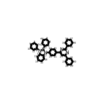 c1ccc(B2N(c3ccccc3)c3ccccc3N2c2ccc(-c3cc(-c4ccccc4)nc(-c4ccccc4)n3)cc2)cc1